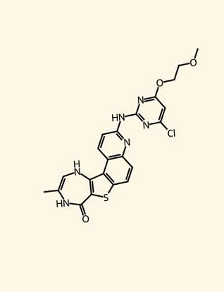 COCCOc1cc(Cl)nc(Nc2ccc3c(ccc4sc5c(c43)NC=C(C)NC5=O)n2)n1